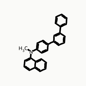 CN(c1ccc(-c2cccc(-c3ccccc3)c2)cc1)c1cccc2ccccc12